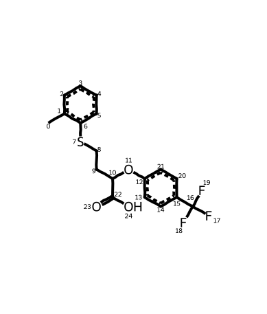 Cc1ccccc1SCCC(Oc1ccc(C(F)(F)F)cc1)C(=O)O